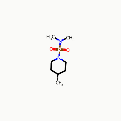 CN(C)S(=O)(=O)N1CCC(C(F)(F)F)CC1